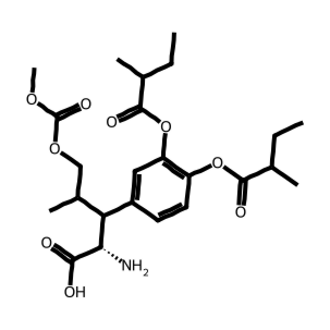 CCC(C)C(=O)Oc1ccc(C(C(C)COC(=O)OC)[C@H](N)C(=O)O)cc1OC(=O)C(C)CC